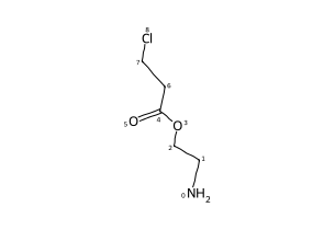 NCCOC(=O)CCCl